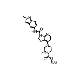 C[C@H]1CN(c2ccnc3c2CCN3C(=O)Nc2ccc3nn(C)cc3c2)CCN1C(=O)OC(C)(C)C